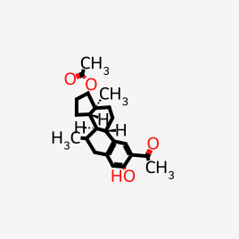 CC(=O)O[C@H]1CC[C@H]2[C@@H]3C(C)Cc4cc(O)c(C(C)=O)cc4[C@H]3CC[C@]12C